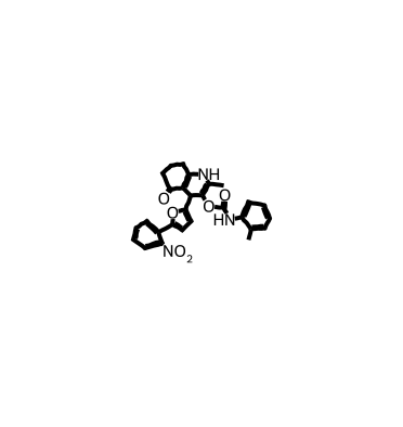 CC1=C(OC(=O)Nc2ccccc2C)C(c2ccc(-c3ccccc3[N+](=O)[O-])o2)C2=C(CCCC2=O)N1